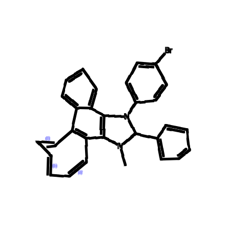 CN1c2c3c(c4ccccc4c2N(c2ccc(Br)cc2)C1c1ccccc1)/C=C/C=C/C=C\3